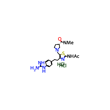 CNC(=O)[C@H]1CCN(Cc2sc(NC(C)=O)nc2CCc2ccc(NC(=N)N)cc2)C1.Cl.Cl